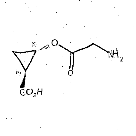 NCC(=O)O[C@H]1C[C@@H]1C(=O)O